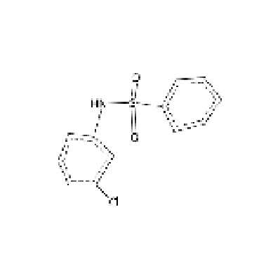 O=S(=O)(Nc1cc[c]c(Cl)c1)c1ccccc1